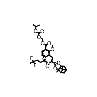 COc1c(CC(NC(=O)CCC(C)(F)F)B2OC3CC4CC(C4(C)C)C3(C)O2)cccc1C(=O)OCOC(=O)OC(C)C